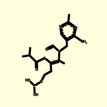 C/C(=C(\CCOP(O)O)SC(=O)C(C)C)N(C=O)Cc1cnc(C)nc1N